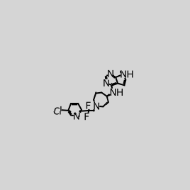 FC(F)(CN1CCCC(Nc2ncnc3[nH]ccc23)CC1)c1ccc(Cl)cn1